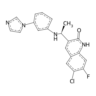 C[C@H](Nc1cccc(-n2ccnc2)c1)c1cc2cc(Cl)c(F)cc2[nH]c1=O